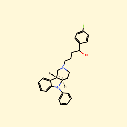 OC(CCCN1CC[C@@H]2[C@@H](C1)c1ccccc1N2c1ccccc1)c1ccc(F)cc1